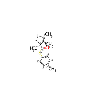 C=C1C(C)CCC1(C)C(=O)Sc1ccc(C)cc1